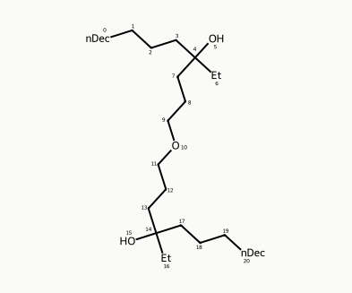 CCCCCCCCCCCCCC(O)(CC)CCCOCCCC(O)(CC)CCCCCCCCCCCCC